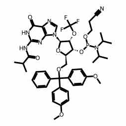 COc1ccc(C(OC[C@H]2O[C@@H](n3cnc4c(=O)[nH]c(NC(=O)C(C)C)nc43)[C@H](OC(F)(F)F)[C@@H]2OP(OCCC#N)N(C(C)C)C(C)C)(c2ccccc2)c2ccc(OC)cc2)cc1